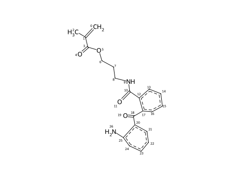 C=C(C)C(=O)OCCCNC(=O)c1ccccc1C(=O)c1ccccc1N